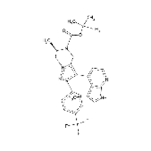 Cc1c[nH]c2nccc(-c3c(-c4ccc(C(F)(F)F)cc4)nn4c3CN(C(=O)OC(C)(C)C)[C@H](C)C4)c12